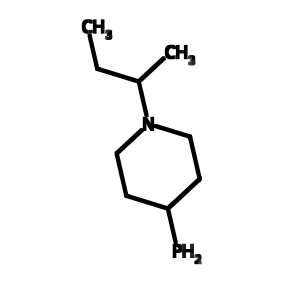 CCC(C)N1CCC(P)CC1